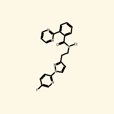 CCN(CCc1ccn(-c2ccc(F)cn2)n1)C(=O)c1ccccc1-c1ncccn1